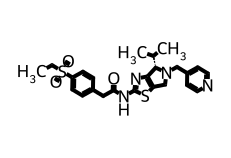 CCS(=O)(=O)c1ccc(CC(=O)Nc2nc3c(s2)CN(Cc2ccncc2)[C@H]3C(C)C)cc1